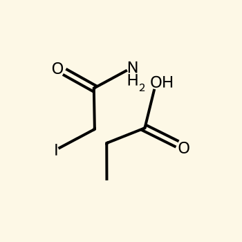 CCC(=O)O.NC(=O)CI